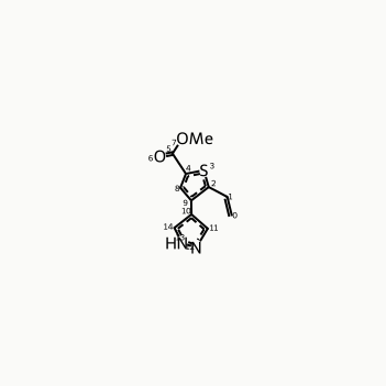 C=Cc1sc(C(=O)OC)cc1-c1cn[nH]c1